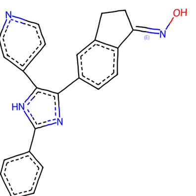 O/N=C1\CCc2cc(-c3nc(-c4ccccc4)[nH]c3-c3ccncc3)ccc21